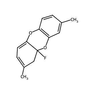 CC1=CC=C2Oc3ccc(C)cc3OC2(F)C1